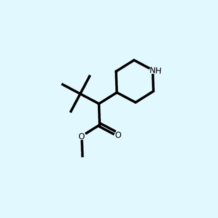 COC(=O)C(C1CCNCC1)C(C)(C)C